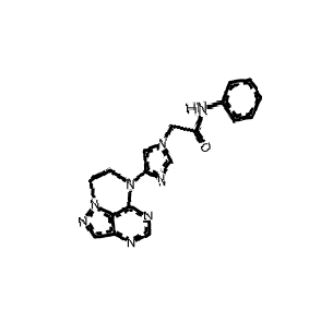 O=C(Cn1cnc(N2CCn3ncc4ncnc2c43)c1)Nc1ccccc1